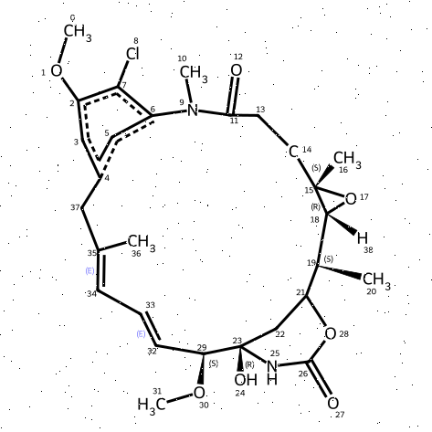 COc1cc2cc(c1Cl)N(C)C(=O)CC[C@]1(C)O[C@@H]1[C@@H](C)C1C[C@](O)(NC(=O)O1)[C@@H](OC)/C=C/C=C(\C)C2